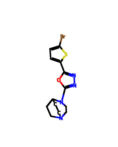 Brc1ccc(-c2nnc(N3CCN4CCC3CC4)o2)s1